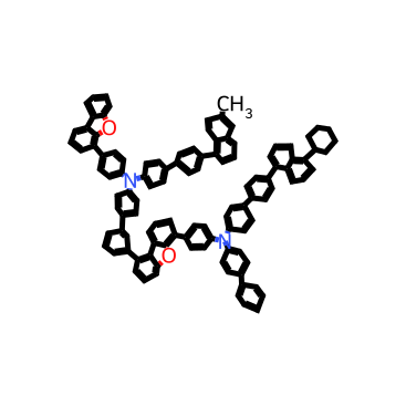 Cc1ccc2c(-c3ccc(-c4ccc(N(c5ccc(-c6cccc(-c7cccc8oc9c(-c%10ccc(N(c%11ccc(-c%12ccccc%12)cc%11)c%11ccc(-c%12ccc(-c%13cccc%14c(C%15CCCCC%15)cccc%13%14)cc%12)cc%11)cc%10)cccc9c78)c6)cc5)c5ccc(-c6cccc7c6oc6ccccc67)cc5)cc4)cc3)cccc2c1